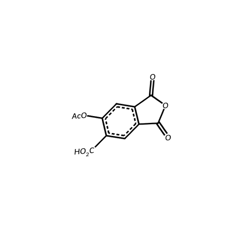 CC(=O)Oc1cc2c(cc1C(=O)O)C(=O)OC2=O